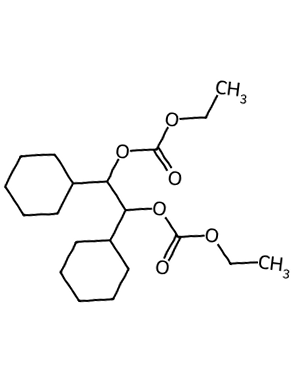 CCOC(=O)OC(C1CCCCC1)C(OC(=O)OCC)C1CCCCC1